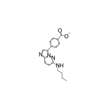 CCCCNc1ccc2ncc(-c3ccc(C(=O)OC)cc3)n2n1